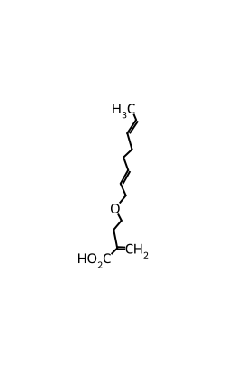 C=C(CCOC/C=C/CC/C=C/C)C(=O)O